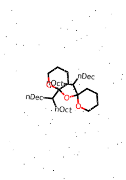 CCCCCCCCCCC(CCCCCCCC)C1(OC2(C(CCCCCCCC)CCCCCCCCCC)CCCCO2)CCCCO1